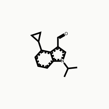 CC(C)n1cc(C=O)c2c(C3CC3)cccc21